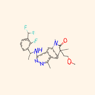 COCCC1(C)C(=O)N(C)c2cc3c(NC(C)c4cccc(C(F)F)c4F)nnc(C)c3cc21